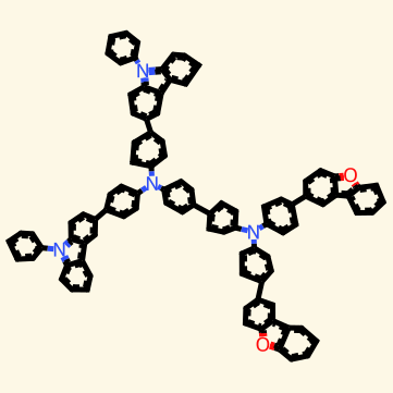 c1ccc(-n2c3ccccc3c3cc(-c4ccc(N(c5ccc(-c6ccc(N(c7ccc(-c8ccc9oc%10ccccc%10c9c8)cc7)c7ccc(-c8ccc9oc%10ccccc%10c9c8)cc7)cc6)cc5)c5ccc(-c6ccc7c(c6)c6ccccc6n7-c6ccccc6)cc5)cc4)ccc32)cc1